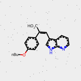 CCCCOc1ccc(C(=Cc2c[nH]c3ncccc23)C(=O)O)cc1